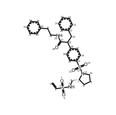 C=CS(=O)(=O)NC[C@H]1CCCN1S(=O)(=O)c1ccc(C(Cc2ccccc2)C(=O)NCCc2ccccc2)cc1